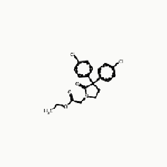 CCOC(=O)CN1CCC(c2ccc(Cl)cc2)(c2ccc(Cl)cc2)C1=O